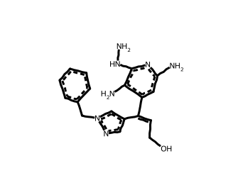 NNc1nc(N)cc(/C(=C/CO)c2cnn(Cc3ccccc3)c2)c1N